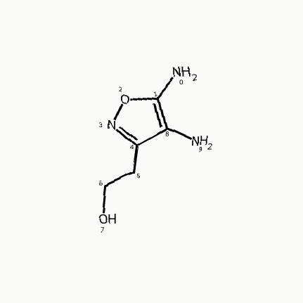 Nc1onc(CCO)c1N